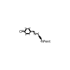 CCCCCC#CCN=Cc1ccc(Cl)cc1